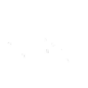 CC(C)c1ccc(S(=O)(=O)n2cc(CN3CCN(C)CC3)c3cccc(Br)c32)cc1